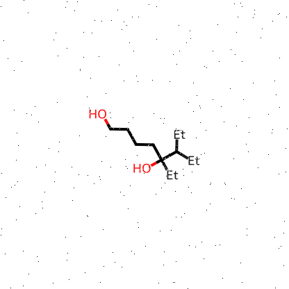 CCC(CC)C(O)(CC)CCCCO